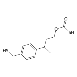 CC(CCOC(=O)S)c1ccc(CS)cc1